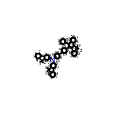 CC1(C)c2ccccc2-c2ccc(N(c3ccc(-c4ccc(-c5c6c(c7ccccc7c5-c5ccccc5)C(C)(C)c5ccccc5-6)cc4)cc3)c3ccc4c(c3)C(C)(C)c3ccccc3-4)cc21